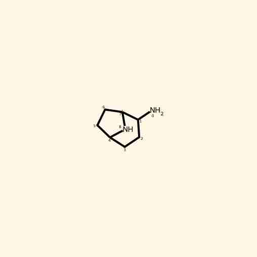 NC1CCC2CC[C]1N2